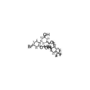 O=C(O)[C@@H]1[C@@H](c2ccc(Br)cc2)C[C@@H](O)C[C@H]1C(=O)Nc1ccc(C(F)(F)F)cc1F